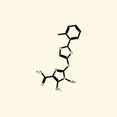 CCCCn1c(SC2=COC(c3ccccc3I)O2)nc(C(N)=O)c1N